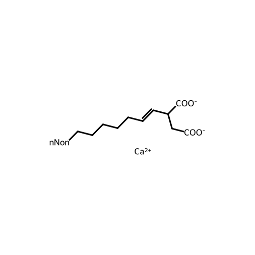 CCCCCCCCCCCCCCC=CC(CC(=O)[O-])C(=O)[O-].[Ca+2]